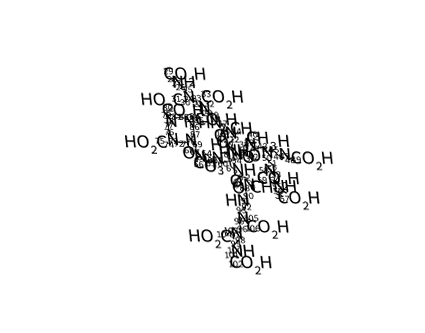 CN(CC(=O)NCC(CNC(=O)CN(C)C(=O)CNCCN(CCN(CCNCC(=O)O)CC(=O)O)CC(=O)O)(CNC(=O)CN(C)C(=O)CN(CCNCC(=O)O)CCN(CCNCC(=O)O)CC(=O)O)CNC(=O)CN(C)C(=O)CN1CCN(CC(=O)O)CCN(CC(=O)O)CCN(CC(=O)O)CC1)C(=O)CNCCN(CCN(CCNCC(=O)O)CC(=O)O)CC(=O)O